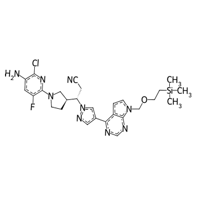 C[Si](C)(C)CCOCn1ccc2c(-c3cnn([C@@H](CC#N)[C@H]4CCN(c5nc(Cl)c(N)cc5F)C4)c3)ncnc21